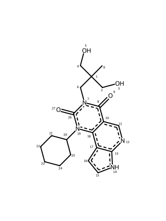 CC(CO)(CO)Cn1c(=O)c2cnc3[nH]ccc3c2n(C2CCCCC2)c1=O